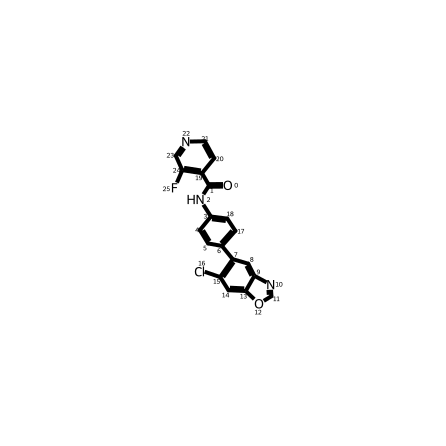 O=C(Nc1ccc(-c2cc3ncoc3cc2Cl)cc1)c1ccncc1F